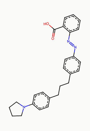 O=C(O)c1ccccc1N=Nc1ccc(CCCc2ccc(N3CCCC3)cc2)cc1